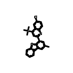 Cc1cc(-c2cc([Si](C)(C)C)c3cc(Cl)ccc3n2)c2oc3ccccc3c2c1